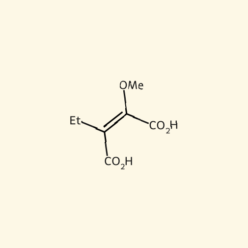 CC/C(C(=O)O)=C(\OC)C(=O)O